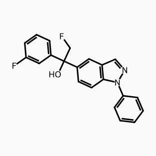 OC(CF)(c1cccc(F)c1)c1ccc2c(cnn2-c2ccccc2)c1